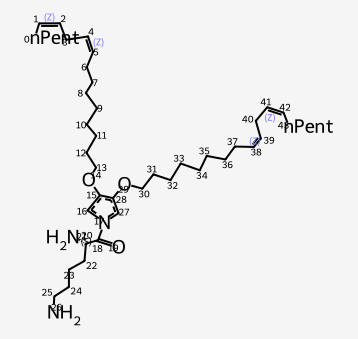 CCCCC/C=C\C/C=C\CCCCCCCCOc1cn(C(=O)[C@@H](N)CCCCN)cc1OCCCCCCCC/C=C\C/C=C\CCCCC